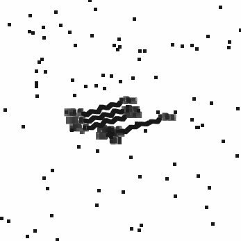 CCCCC(O)(O)O.CCCCCCCCCCCCCCCCCC(=O)O.CCCCCCCCCCCCCCCCCC(=O)O.CCCCCCCCCCCCCCCCCC(=O)O.CCCCCCCCCCCCCCCCCC(=O)O